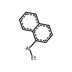 C[CH2][Al][c]1cccc2ccccc12